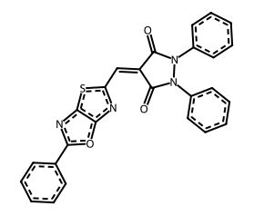 O=C1C(=Cc2nc3oc(-c4ccccc4)nc3s2)C(=O)N(c2ccccc2)N1c1ccccc1